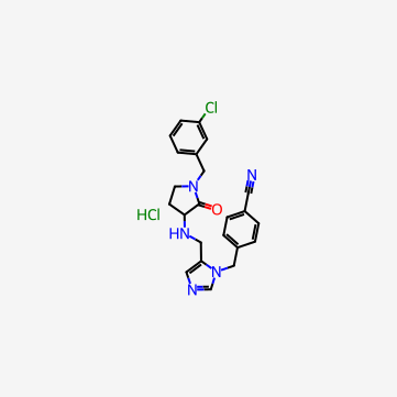 Cl.N#Cc1ccc(Cn2cncc2CNC2CCN(Cc3cccc(Cl)c3)C2=O)cc1